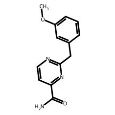 COc1cccc(Cc2nccc(C(N)=O)n2)c1